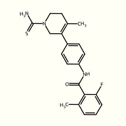 CC1=C(c2ccc(NC(=O)c3c(C)cccc3F)cc2)CN(C(N)=S)CC1